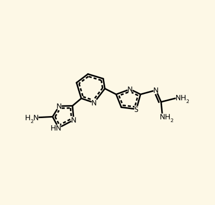 NC(N)=Nc1nc(-c2cccc(-c3n[nH]c(N)n3)n2)cs1